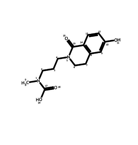 CN(CCCN1CCc2cc(O)ccc2C1=O)C(=O)O